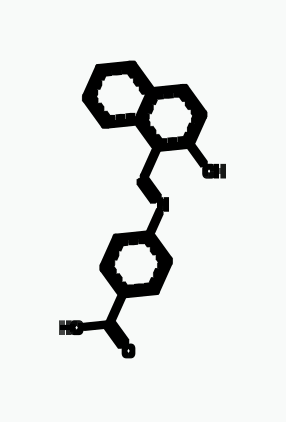 O=C(O)c1ccc(/N=C/c2c(O)ccc3ccccc23)cc1